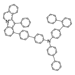 c1ccc(-c2ccc(N(c3ccc(-c4ccc(-c5cccc6c5c(-c5ccccc5)c5c7ccccc7ccn65)cc4)cc3)c3ccc(-c4ccccc4-c4ccccc4)cc3)cc2)cc1